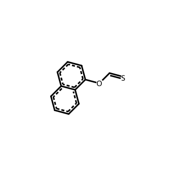 S=COc1cccc2ccccc12